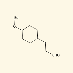 CCC(C)OC1CCC(CCC=O)CC1